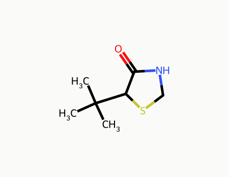 CC(C)(C)C1SCNC1=O